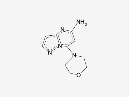 Nc1cc(N2CCOCC2)n2nccc2n1